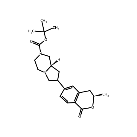 C[C@@H]1Cc2cc(C3C[C@H]4CN(C(=O)OC(C)(C)C)CCN4C3)ccc2C(=O)O1